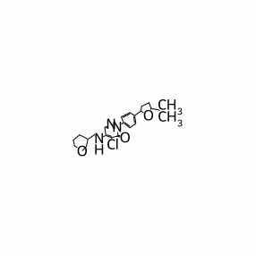 CC(C)C1CCC(c2ccc(-n3ncc(NCC4CCCOC4)c(Cl)c3=O)cc2)O1